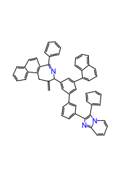 C=C1Cc2c(ccc3ccccc23)C(c2ccccc2)=NC1c1cc(-c2cccc(-c3nc4ccccn4c3-c3ccccc3)c2)cc(-c2cccc3ccccc23)c1